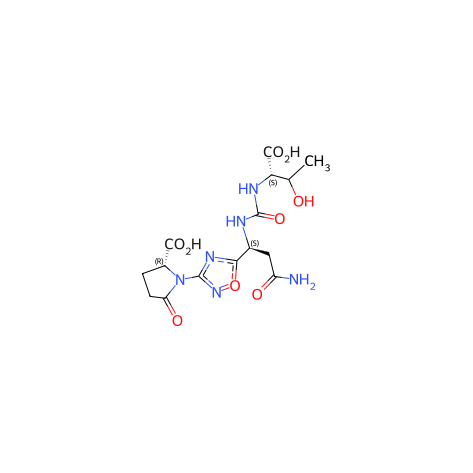 CC(O)[C@H](NC(=O)N[C@@H](CC(N)=O)c1nc(N2C(=O)CC[C@@H]2C(=O)O)no1)C(=O)O